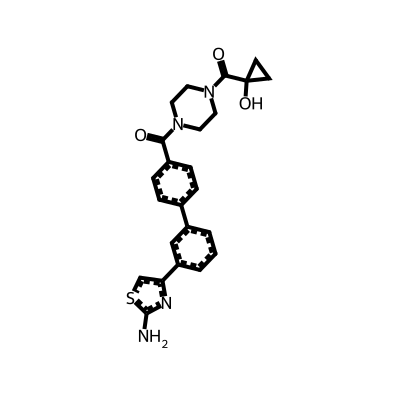 Nc1nc(-c2cccc(-c3ccc(C(=O)N4CCN(C(=O)C5(O)CC5)CC4)cc3)c2)cs1